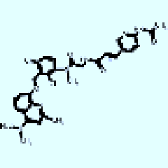 CC(=O)Nc1ccc(/C=C/C(=O)NCC(=O)N(C)c2ccc(Cl)c(COc3cccc4c(N(C)C)cc(C)nc34)c2Cl)cn1